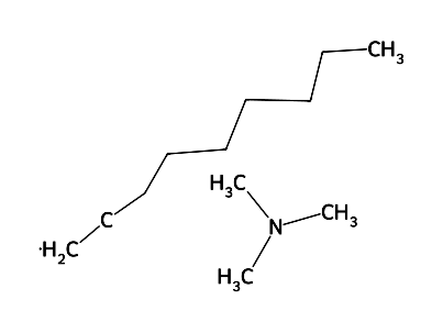 CN(C)C.[CH2]CCCCCCCC